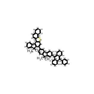 CC1(C)c2ccc(-c3cc4sc5c6ccccc6ccc5c4c4c3C(C)(C)c3ccccc3-4)cc2-c2ccc(-c3c4ccccc4c(-c4ccccc4)c4ccccc34)cc21